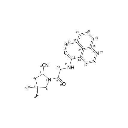 N#CC1CC(F)(F)CN1C(=O)CNC(=O)c1ccnc2cccc(Br)c12